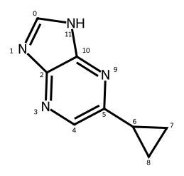 c1nc2ncc(C3CC3)nc2[nH]1